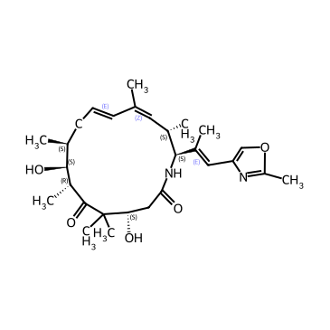 CC1=C/[C@H](C)[C@@H](/C(C)=C/c2coc(C)n2)NC(=O)C[C@H](O)C(C)(C)C(=O)[C@H](C)[C@@H](O)[C@@H](C)C\C=C\1